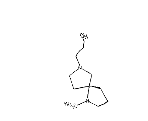 O=C(O)N1CCC[C@]12CCN(CCO)C2